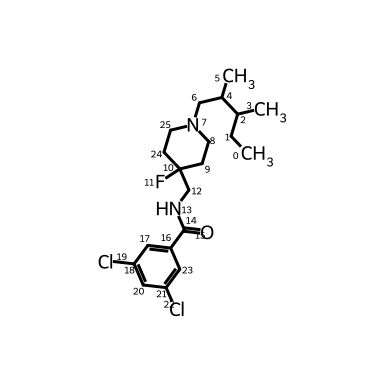 CCC(C)C(C)CN1CCC(F)(CNC(=O)c2cc(Cl)cc(Cl)c2)CC1